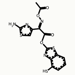 CC(=O)O/N=C(/C(=O)Oc1nc2c(S)cccc2s1)c1csc(N)n1